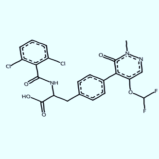 Cn1ncc(OC(F)F)c(-c2ccc(CC(NC(=O)c3c(Cl)cccc3Cl)C(=O)O)cc2)c1=O